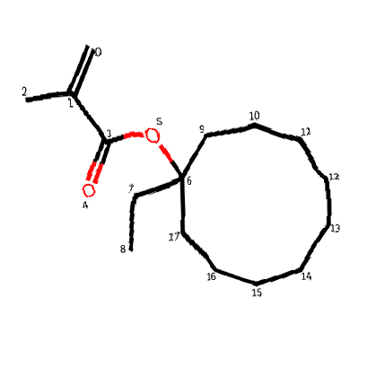 C=C(C)C(=O)OC1(CC)CCCCCCCCC1